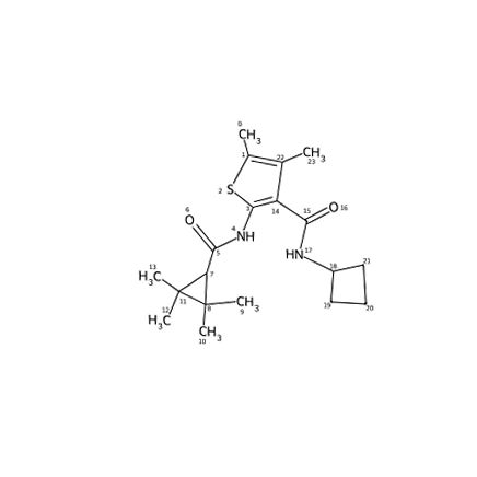 Cc1sc(NC(=O)C2C(C)(C)C2(C)C)c(C(=O)NC2CCC2)c1C